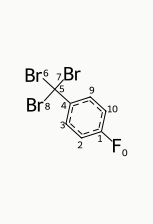 Fc1ccc(C(Br)(Br)Br)cc1